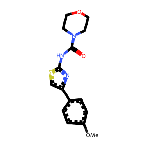 COc1ccc(-c2csc(NC(=O)N3CCOCC3)n2)cc1